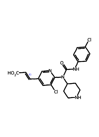 O=C(O)/C=C/c1cnc(N(C(=O)Nc2ccc(Cl)cc2)C2CCNCC2)c(Cl)c1